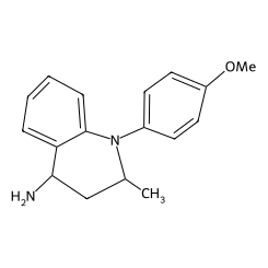 COc1ccc(N2c3ccccc3C(N)CC2C)cc1